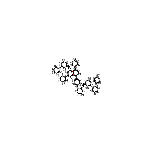 c1ccc(-c2cccc(N(c3cccc(-c4ccccc4)c3)c3ccccc3-c3ccc(-c4ccc5c6ccccc6n(-c6cccc(-c7ccccc7-c7ccccc7)c6)c5c4)cc3)c2)cc1